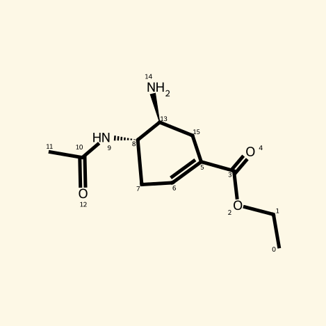 CCOC(=O)C1=CC[C@H](NC(C)=O)[C@@H](N)C1